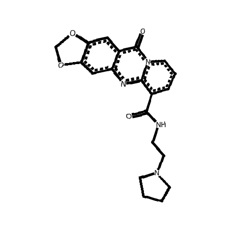 O=C(NCCN1CCCC1)c1cccn2c(=O)c3cc4c(cc3nc12)OCO4